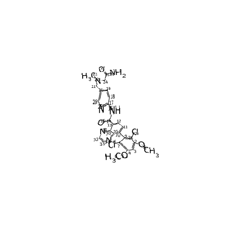 COc1cc(OC)c(Cl)c(-c2ccc(C(=O)Nc3ccc(CN(C)CC(N)=O)cn3)c3nccnc23)c1Cl